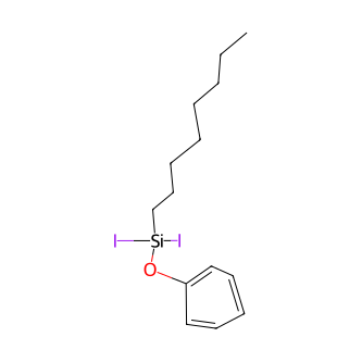 CCCCCCCC[Si](I)(I)Oc1ccccc1